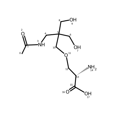 CC(=O)NCC(CO)(CO)COC[C@H](N)C(=O)O